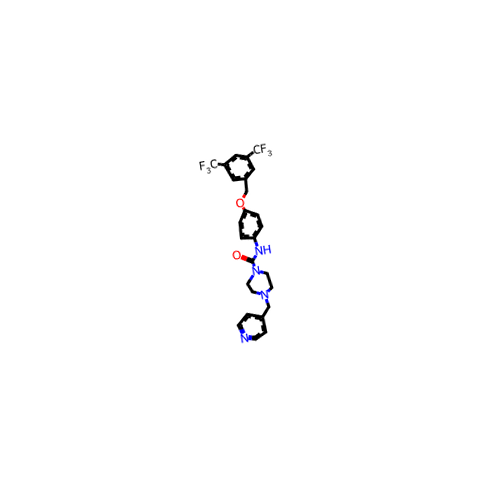 O=C(Nc1ccc(OCc2cc(C(F)(F)F)cc(C(F)(F)F)c2)cc1)N1CCN(Cc2ccncc2)CC1